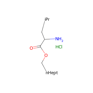 CCCCCCCCOC(=O)C(N)CC(C)C.Cl